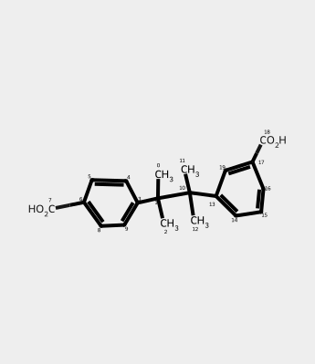 CC(C)(c1ccc(C(=O)O)cc1)C(C)(C)c1cccc(C(=O)O)c1